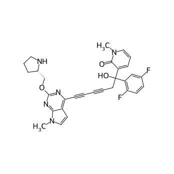 Cn1cccc(C(O)(CC#CC#Cc2nc(OC[C@@H]3CCCN3)nc3c2ccn3C)c2cc(F)ccc2F)c1=O